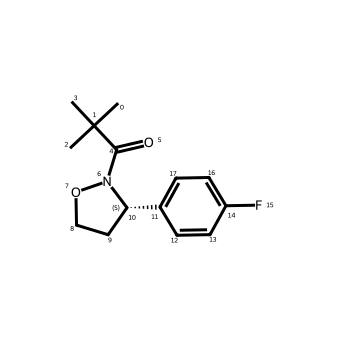 CC(C)(C)C(=O)N1OCC[C@H]1c1ccc(F)cc1